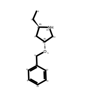 CC[C@@H]1C[C@@H](OCc2ccccc2)CN1